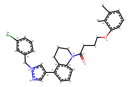 Cc1cccc(OCCCC(=O)N2CCCc3c(-c4cnn(Cc5cccc(Br)c5)c4)cccc32)c1C